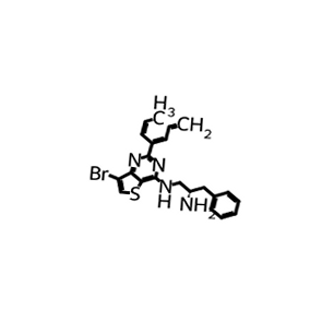 C=C/C=C(\C=C/C)c1nc(NC[C@@H](N)Cc2ccccc2)c2scc(Br)c2n1